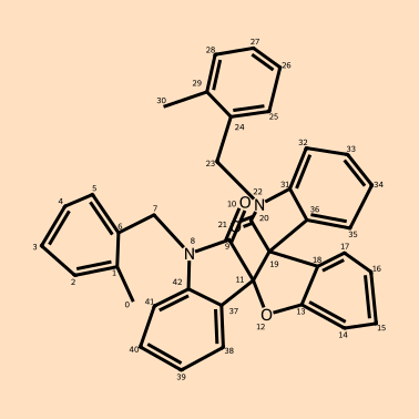 Cc1ccccc1CN1C(=O)C2(Oc3ccccc3C23C(=O)N(Cc2ccccc2C)c2ccccc23)c2ccccc21